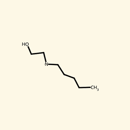 CCCCC[N]CCO